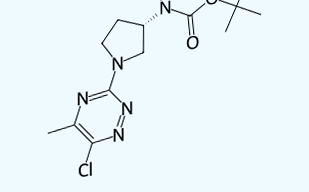 Cc1nc(N2CC[C@H](NC(=O)OC(C)(C)C)C2)nnc1Cl